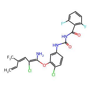 C=C/C(=C\C(Cl)=C(/N)Oc1cc(NC(=O)NC(=O)c2c(F)cccc2F)ccc1Cl)C(F)(F)F